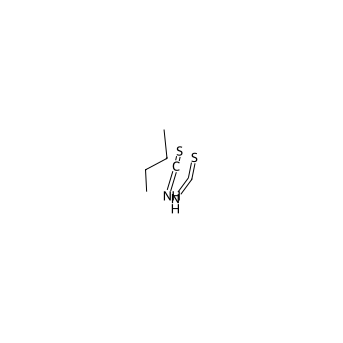 CCCC.N=C=S.N=C=S